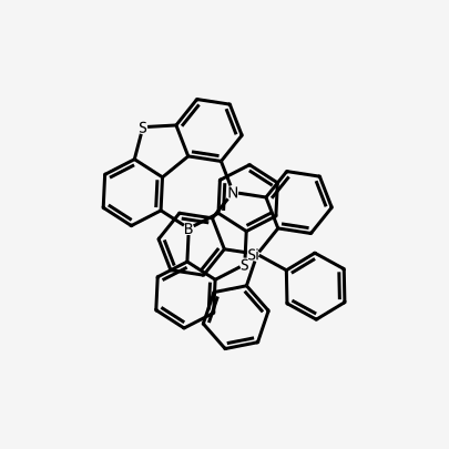 c1ccc([Si]2(c3ccccc3)c3ccccc3N(c3cccc4sc5cccc(B6c7ccccc7Sc7ccccc76)c5c34)c3ccccc32)cc1